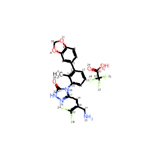 Cc1c(-c2ccc3c(c2)OCO3)cccc1-n1c(CC(CN)=C(F)F)n[nH]c1=O.O=C(O)C(F)(F)F